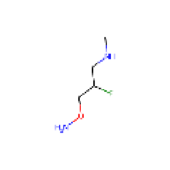 CNCC(F)CON